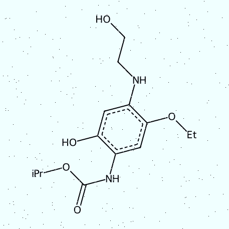 CCOc1cc(NC(=O)OC(C)C)c(O)cc1NCCO